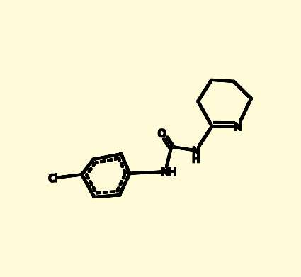 O=C(NC1=NCCCC1)Nc1ccc(Cl)cc1